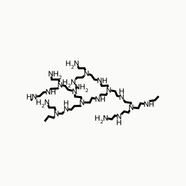 CCCNCCN(CCNCCN)CCNCCN(CCNCCN(CCN)CCN)CCNCCN(CCCNCN(CCC)CCN)CCN(N)CCN(CCN)CCNCCNC